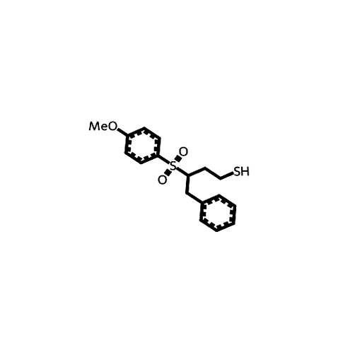 COc1ccc(S(=O)(=O)C(CCS)Cc2ccccc2)cc1